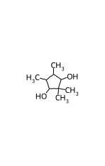 CC1C(C)C(O)C(C)(C)C1O